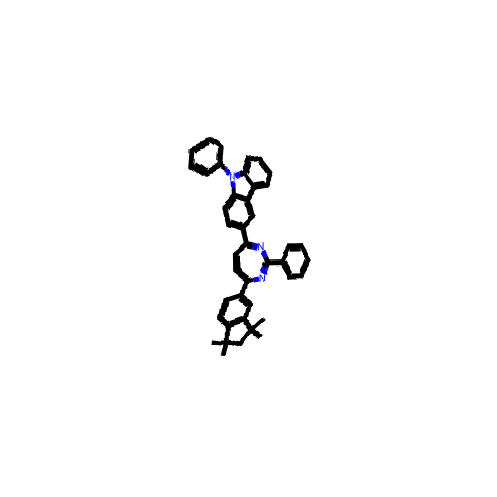 CC1(C)CC(C)(C)c2cc(C3=C=CC(c4ccc5c(c4)c4ccccc4n5-c4ccccc4)=NC(c4ccccc4)=N3)ccc21